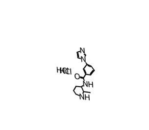 CC1NCCCC1NC(=O)c1cccc(-n2ccnc2)c1.Cl.Cl